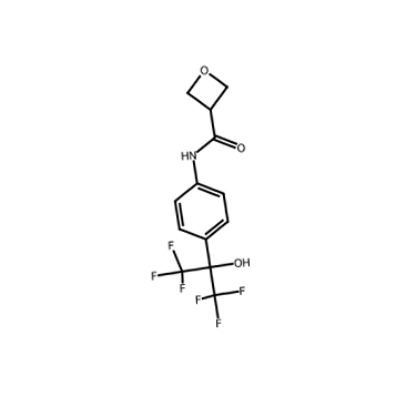 O=C(Nc1ccc(C(O)(C(F)(F)F)C(F)(F)F)cc1)C1COC1